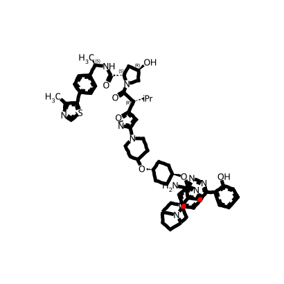 Cc1ncsc1-c1ccc([C@H](C)NC(=O)[C@@H]2C[C@@H](O)CN2C(=O)[C@@H](c2cc(N3CCC(O[C@H]4CC[C@H](Oc5cc(N6C7CCC6CN(c6cc(-c8ccccc8O)nnc6N)C7)ccn5)CC4)CC3)no2)C(C)C)cc1